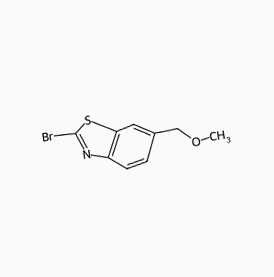 COCc1ccc2nc(Br)sc2c1